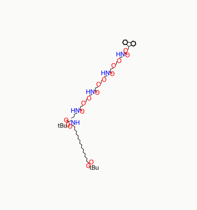 CC(C)(C)OC(=O)CCCCCCCCCCCCCCCCC(=O)N[C@@H](CCCCNC(=O)CCOCCOCCNC(=O)CCOCCOCCNC(=O)CCOCCOCCNC(=O)OCC1c2ccccc2-c2ccccc21)C(=O)OC(C)(C)C